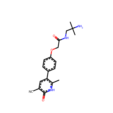 Cc1[nH]c(=O)c(C#N)cc1-c1ccc(OCC(=O)NCC(C)(C)N)cc1